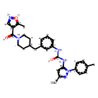 Cc1ccc(-n2nc(C(C)(C)C)cc2NC(=O)Nc2cccc(CC3CCN(C(=O)c4cnoc4C)CC3)c2)cc1